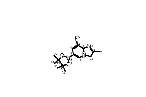 CC1=NC2C(F)=CC(B3OC(C)(C)C(C)(C)O3)=CN2C1